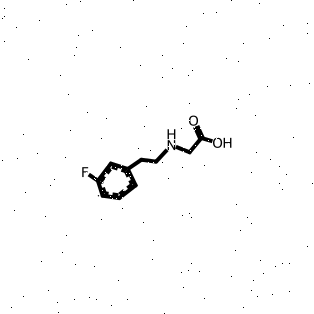 O=C(O)CNCCc1cc[c]c(F)c1